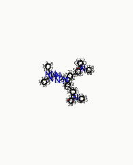 C1=NC(c2nc(-c3ccccc3)nc(-c3ccccc3)n2)=NCC1n1c2ccc(-c3ccc4c(c3)c3ccccc3n4-c3ccccc3)cc2c2cc(-c3ccc4c(c3)c3ccccc3n4-c3ccccc3)ccc21